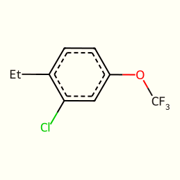 CCc1ccc(OC(F)(F)F)cc1Cl